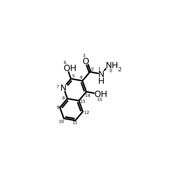 NNC(=O)c1c(O)nc2ccccc2c1O